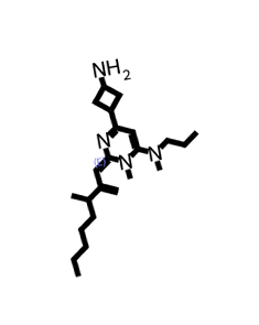 C=C(/C=C1/N=C(C2CC(N)C2)C=C(N(C)CCC)N1C)C(C)CCCCC